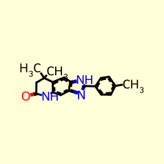 Cc1ccc(-c2nc3cc4c(cc3[nH]2)C(C)(C)CC(=O)N4)cc1